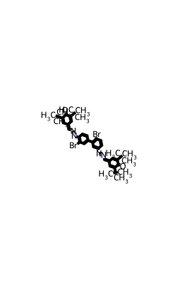 CC(C)(C)C1=CC(=C/N=N/c2ccc(Br)c(-c3ccc(/N=N/C=C4C=C(C(C)(C)C)C(=O)C(C(C)(C)C)=C4)c(Br)c3)c2)C=C(C(C)(C)C)C1=O